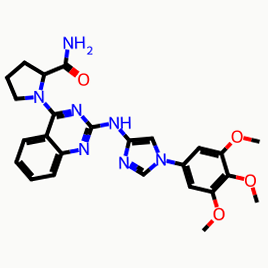 COc1cc(-n2cnc(Nc3nc(N4CCCC4C(N)=O)c4ccccc4n3)c2)cc(OC)c1OC